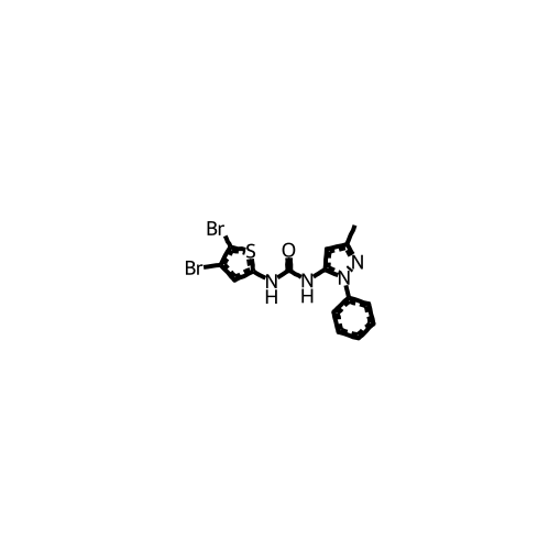 Cc1cc(NC(=O)Nc2cc(Br)c(Br)s2)n(-c2ccccc2)n1